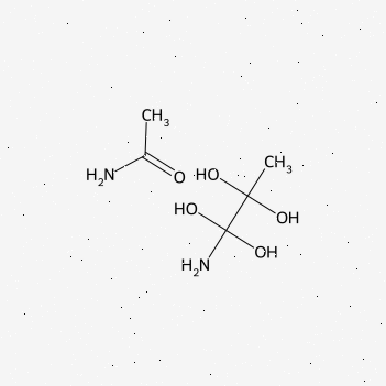 CC(N)=O.CC(O)(O)C(N)(O)O